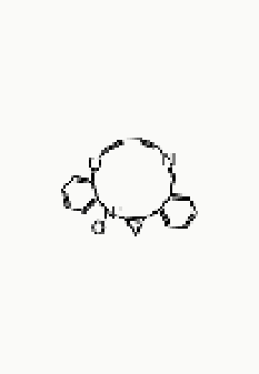 O=[n+]1c2c(c3ccccc3cnccccoc3ccccc31)C2